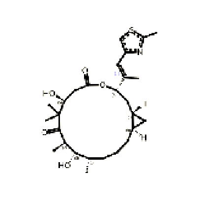 C/C(=C\c1csc(C)n1)[C@@H]1C[C@@H]2C[C@H]2CCC[C@H](C)[C@H](O)[C@@H](C)C(=O)C(C)(C)[C@@H](O)CC(=O)O1